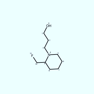 OCCCN1CCCCC1CF